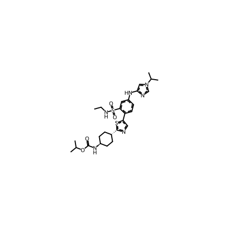 CCNS(=O)(=O)c1cc(Nc2cn(C(C)C)cn2)ccc1-c1cnc([C@H]2CC[C@H](NC(=O)OC(C)C)CC2)s1